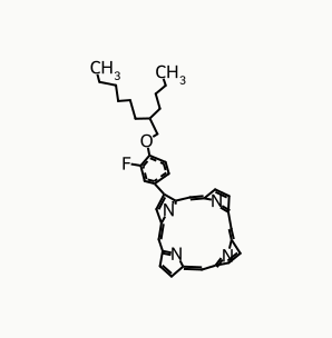 CCCCCCC(CCCC)COc1ccc(C2=CC3=CC4=NC(=CC5=NC(=CC6=NC(=CC2=N3)C=C6)C=C5)C=C4)cc1F